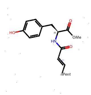 CCCCC/C=C/C(=O)N[C@@H](Cc1ccc(O)cc1)C(=O)OC